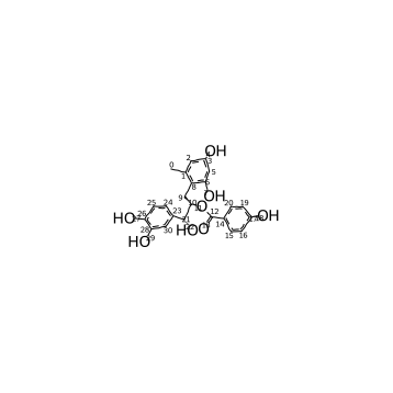 Cc1cc(O)cc(O)c1C[C@@H](OC(=O)c1ccc(O)cc1)[C@H](O)c1ccc(O)c(O)c1